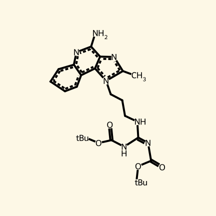 Cc1nc2c(N)nc3ccccc3c2n1CCCNC(=NC(=O)OC(C)(C)C)NC(=O)OC(C)(C)C